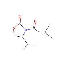 CC(C)CC(=O)N1C(=O)OCC1C(C)C